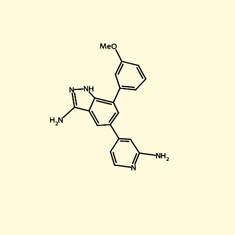 COc1cccc(-c2cc(-c3ccnc(N)c3)cc3c(N)n[nH]c23)c1